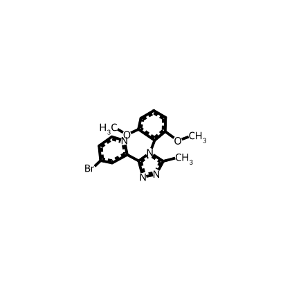 COc1cccc(OC)c1-n1c(C)nnc1-c1cc(Br)ccn1